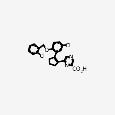 O=C(O)c1cncc(C2=C(c3cc(Cl)ccc3OCc3ccccc3Cl)CCC2)n1